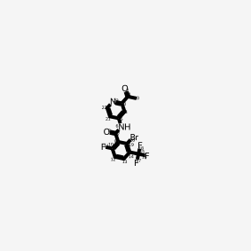 CC(=O)c1cc(NC(=O)c2c(F)ccc(C(F)(F)F)c2Br)ccn1